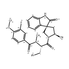 CC(C)C[C@@H](C(=O)N1C[C@]2(C[C@H]1C#N)C(=O)Nc1ccccc12)N(C)C(=O)c1ccc(OC(F)(F)F)c(F)c1